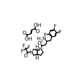 NC(CC(=O)N1CC[C@H]2CN(C(=O)C(F)(F)F)C[C@H]21)Cc1cc(F)c(F)cc1F.O=C(O)C=CC(=O)O